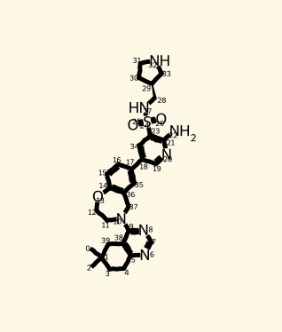 CC1(C)CCc2ncnc(N3CCOc4ccc(-c5cnc(N)c(S(=O)(=O)NC[C@H]6CCNC6)c5)cc4C3)c2C1